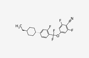 CC[C@H]1CC[C@H](c2ccc(C(F)(F)Oc3cc(F)c(C#N)c(F)c3)c(F)c2)CC1